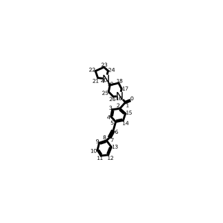 C=C(c1ccc(C#Cc2ccccc2)cc1)N1CCC(N2CCCC2)CC1